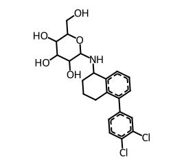 OCC1OC(NC2CCCc3c(-c4ccc(Cl)c(Cl)c4)cccc32)C(O)C(O)C1O